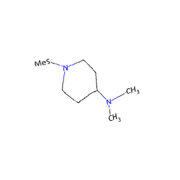 CSN1CCC(N(C)C)CC1